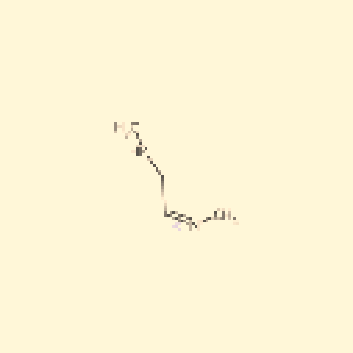 C/N=C\CPC